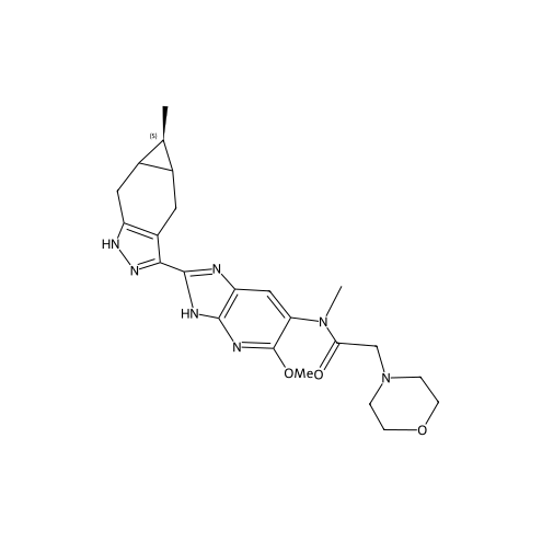 COc1nc2[nH]c(-c3n[nH]c4c3CC3C(C4)[C@H]3C)nc2cc1N(C)C(=O)CN1CCOCC1